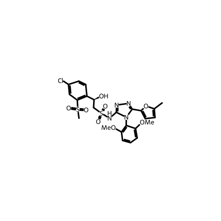 COc1cccc(OC)c1-n1c(NS(=O)(=O)C[C@H](O)c2ccc(Cl)cc2S(C)(=O)=O)nnc1-c1ccc(C)o1